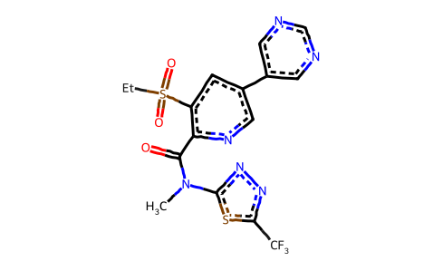 CCS(=O)(=O)c1cc(-c2cncnc2)cnc1C(=O)N(C)c1nnc(C(F)(F)F)s1